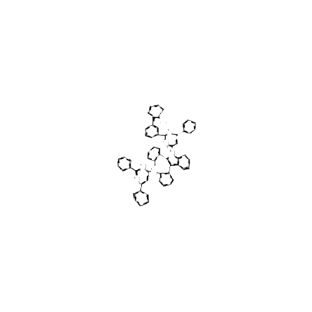 c1ccc(-c2cc(N3c4ccccc4-c4c(n(-c5cc(-c6ccccc6)nc(-c6cccc7c6oc6ccccc67)n5)c5ccccc45)-c4ccccc43)nc(-c3ccccc3)n2)cc1